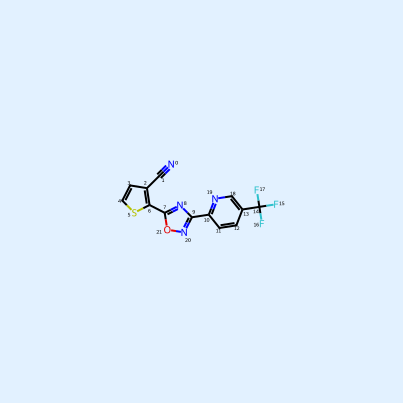 N#Cc1ccsc1-c1nc(-c2ccc(C(F)(F)F)cn2)no1